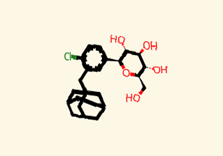 OC[C@H]1O[C@@H](c2ccc(Cl)c(CC34CC5CC(CC(C5)C3)C4)c2)[C@H](O)[C@@H](O)[C@@H]1O